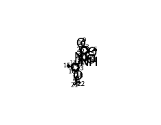 COc1cc(OC)c2c(=O)[nH]c(-c3cc(C)cc(OC[C](C)C)c3)nc2c1